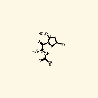 CC(C)C1CC(C(=O)O)N(C(=O)[C@@H](NC(=O)C(F)(F)F)C(C)(C)C)C1